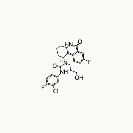 O=C(Nc1ccc(F)c(Cl)c1)N(CCCO)[C@@H]1CCCc2[nH]c(=O)c3cc(F)ccc3c21